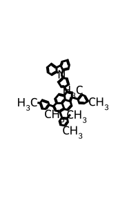 Cc1ccc(-c2cc(-c3ccc(-n4c5ccccc5c5ccccc54)cc3)c3ccc4c(-c5ccc(C)cc5C)cc(-c5ccc(C)cc5C)c5ccc2c3c45)c(C)c1